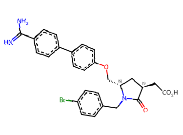 N=C(N)c1ccc(-c2ccc(OC[C@@H]3C[C@@H](CC(=O)O)C(=O)N3Cc3ccc(Br)cc3)cc2)cc1